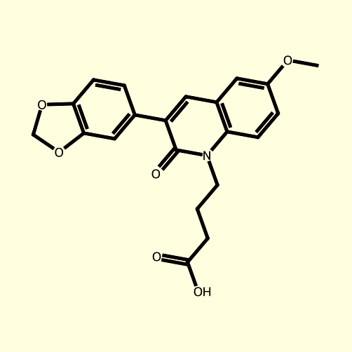 COc1ccc2c(c1)cc(-c1ccc3c(c1)OCO3)c(=O)n2CCCC(=O)O